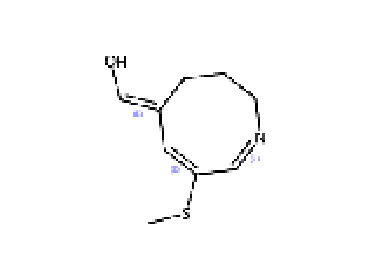 CSC1=C/C(=C/O)CCC/N=C\1